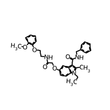 CCn1c(C)c(C(=O)NCc2ccccc2)c2cc(OCC(=O)NCCOc3ccccc3OC)ccc21